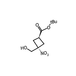 CC(C)(C)OC(=O)[C@H]1C[C@](CO)([N+](=O)[O-])C1